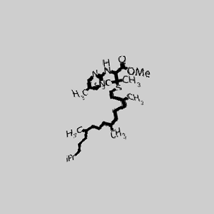 COC(=O)C(Nc1ncc(C)cn1)C(C)(C)SC/C=C(\C)CCCC(C)CCCC(C)CCCC(C)C